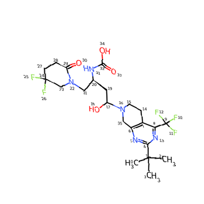 CC(C)(C)c1nc2c(c(C(F)(F)F)n1)CCN(C(O)C[C@@H](CN1CC(F)(F)CCC1=O)NC(=O)O)C2